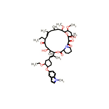 CCOC1CC(C=C(C)C2OC(=O)C3CCCCN3C(=O)C(=O)C3(O)OC(C(OC)CC(C)C/C(C)=C/C(CC)C(=O)CC(O)C2C)C(OC)CC3C)CCC1Oc1ccc2c(ccn2C)c1